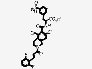 O=C(N[C@@H](Cc1cccc([SH](=O)=O)c1)C(=O)O)c1c(Cl)cc2c(c1Cl)CCN(C(=O)/C=C/c1c(F)cccc1F)C2